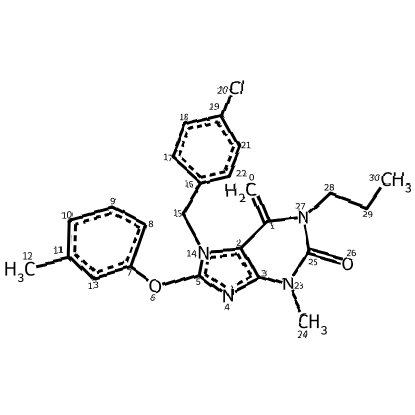 C=C1c2c(nc(Oc3cccc(C)c3)n2Cc2ccc(Cl)cc2)N(C)C(=O)N1CCC